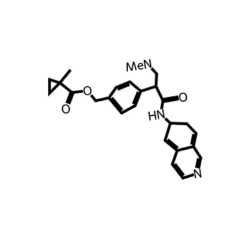 CNCC(C(=O)NC1C=c2ccncc2=CC1)c1ccc(COC(=O)C2(C)CC2)cc1